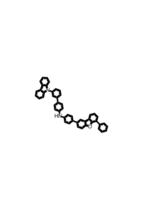 c1ccc(-c2cccc3c2oc2ccc(-c4ccc(Nc5ccc(-c6cccc(-n7c8ccccc8c8ccccc87)c6)cc5)cc4)cc23)cc1